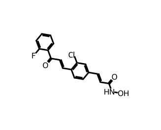 O=C(C=Cc1ccc(C=CC(=O)c2ccccc2F)c(Cl)c1)NO